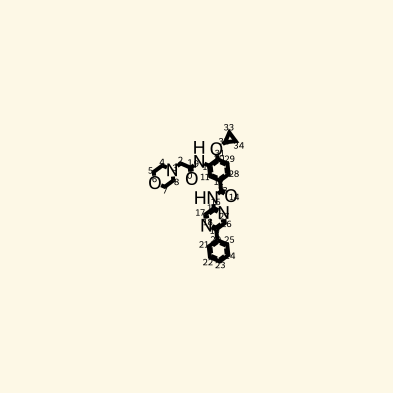 O=C(CN1CCOCC1)Nc1cc(C(=O)Nc2cnc(-c3ccccc3)cn2)ccc1OC1CC1